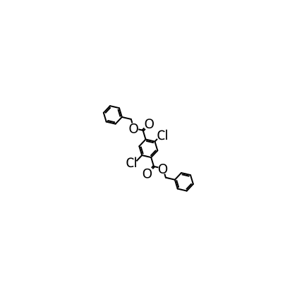 O=C(OCc1ccccc1)c1cc(Cl)c(C(=O)OCc2ccccc2)cc1Cl